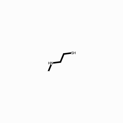 [CH2]NCCS